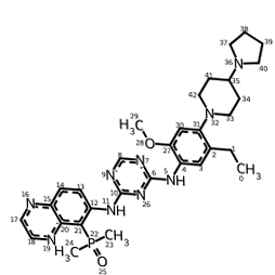 CCc1cc(Nc2ncnc(Nc3ccc4nccnc4c3P(C)(C)=O)n2)c(OC)cc1N1CCC(N2CCCC2)CC1